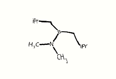 CC(C)CB(CC(C)C)N(C)C